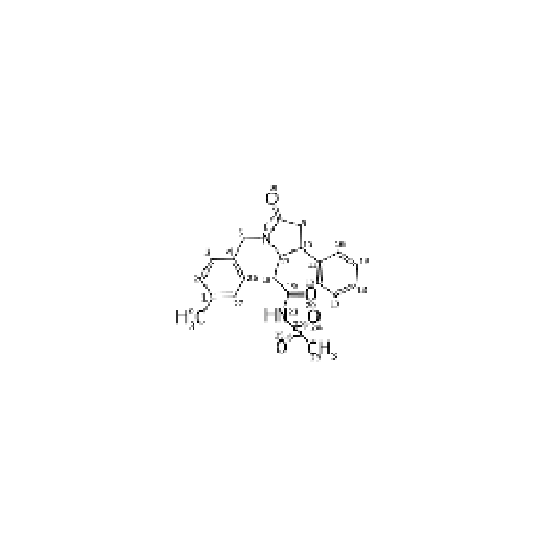 Cc1ccc(CN2C(=O)CC(c3ccccc3)C2CC(=O)NS(C)(=O)=O)cc1